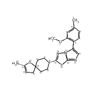 COc1cc(C)ccc1-c1cnc2sc(N3CCC4(CC3)CN=C(N)O4)nn12